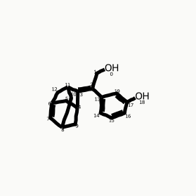 OCC(=C1C2CC3=CC(C2)CC1C3)c1cccc(O)c1